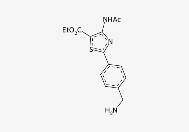 CCOC(=O)c1sc(-c2ccc(CN)cc2)nc1NC(C)=O